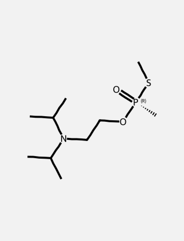 CS[P@](C)(=O)OCCN(C(C)C)C(C)C